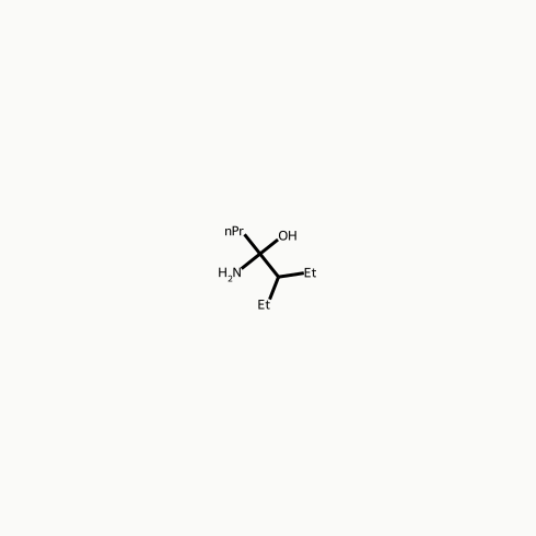 CCCC(N)(O)C(CC)CC